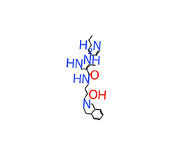 CCC/C=C(\C=C/N)N/C(C)=C(\C=N)C(=O)NCCC(O)CN1CCC2C=CC=CC2C1